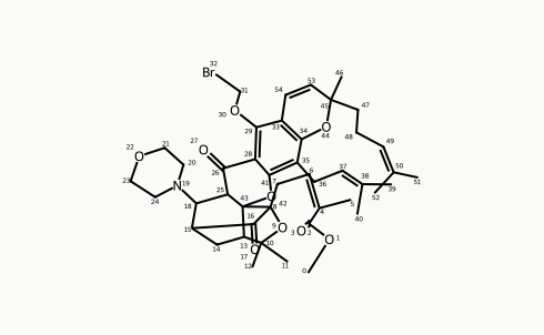 COC(=O)/C(C)=C\CC12OC(C)(C)C3CC(C1=O)C(N1CCOCC1)C1C(=O)c4c(OCBr)c5c(c(CC=C(C)C)c4OC132)OC(C)(CCC=C(C)C)C=C5